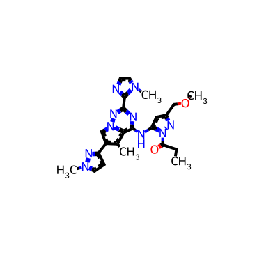 CCC(=O)n1nc(COC)cc1Nc1nc(-c2nccn2C)nn2cc(-c3ccn(C)n3)c(C)c12